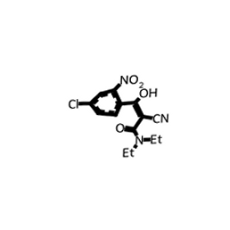 CCN(CC)C(=O)C(C#N)=C(O)c1ccc(Cl)cc1[N+](=O)[O-]